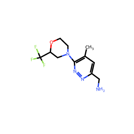 Cc1cc(CN)nnc1N1CCOC(C(F)(F)F)C1